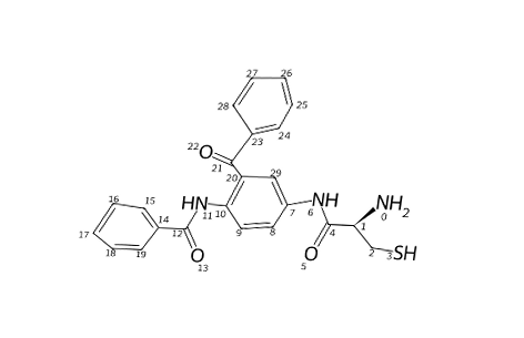 N[C@@H](CS)C(=O)Nc1ccc(NC(=O)c2ccccc2)c(C(=O)c2ccccc2)c1